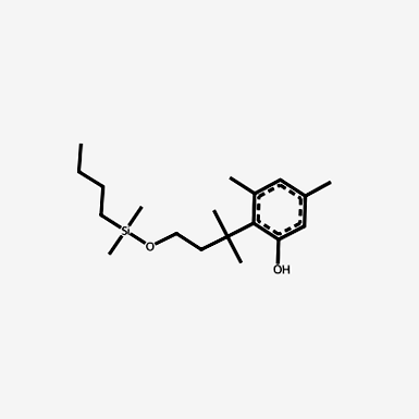 CCCC[Si](C)(C)OCCC(C)(C)c1c(C)cc(C)cc1O